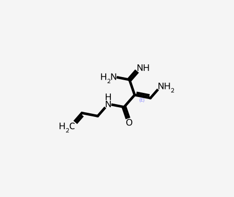 C=CCNC(=O)/C(=C/N)C(=N)N